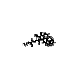 C=CC(=O)N(I)CCN(I)c1c(C#N)c(=O)n2c3c(c(-c4c(O)cccc4F)c(Cl)cc13)OCC2